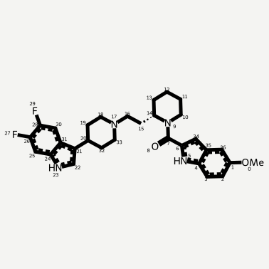 COc1ccc2[nH]c(C(=O)N3CCCC[C@H]3CCN3CCC(c4c[nH]c5cc(F)c(F)cc45)CC3)cc2c1